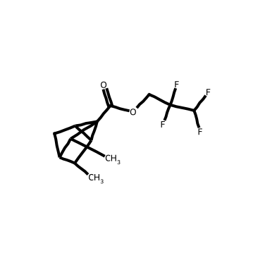 CC1C2CC3C1C3(C(=O)OCC(F)(F)C(F)F)C2C